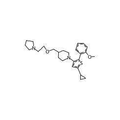 COc1ccccc1-c1sc(C2CC2)cc1N1CCC(COCCN2CCCC2)CC1